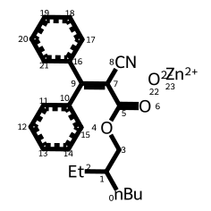 CCCCC(CC)COC(=O)C(C#N)=C(c1ccccc1)c1ccccc1.[O-2].[Zn+2]